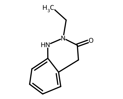 CCN1Nc2ccccc2CC1=O